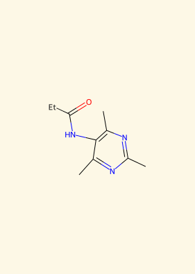 CCC(=O)Nc1c(C)nc(C)nc1C